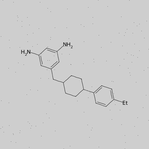 CCc1ccc(C2CCC(Cc3cc(N)cc(N)c3)CC2)cc1